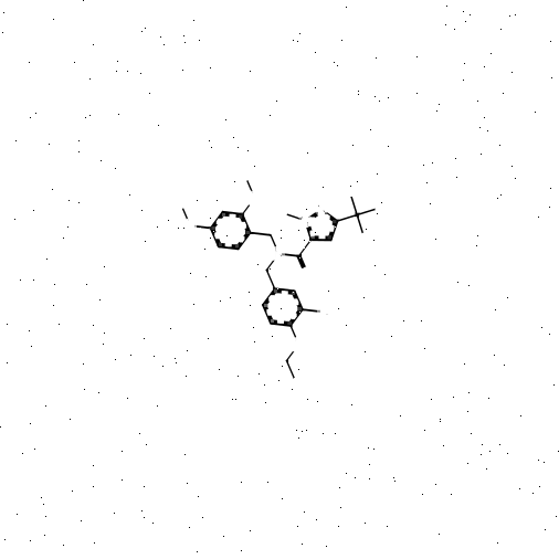 CCOc1ccc(CN(Cc2ccc(OC)cc2OC)C(=O)c2cc(C(C)(C)C)nn2C)cc1Br